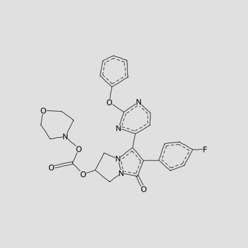 O=C(OC1Cn2c(-c3ccnc(Oc4ccccc4)n3)c(-c3ccc(F)cc3)c(=O)n2C1)ON1CCOCC1